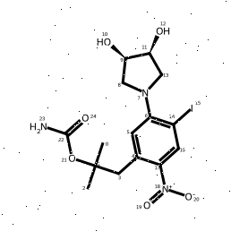 CC(C)(Cc1cc(N2C[C@@H](O)[C@@H](O)C2)c(I)cc1[N+](=O)[O-])OC(N)=O